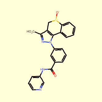 O=C(Nc1cccnc1)c1cccc(-n2nc(C(=O)O)c3c2-c2ccccc2[S+]([O-])C3)c1